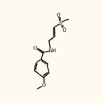 COc1ccc(C(=O)NC/C=C/S(C)(=O)=O)cc1